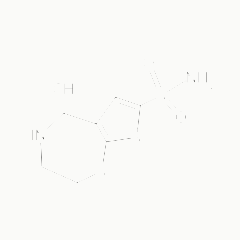 C[C@H]1NCCSc2sc(S(N)(=O)=O)cc21